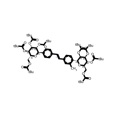 Cc1cc(/C=C/c2ccc([C@H]3O[C@H](COC(=O)C(C)(C)C)[C@@H](OC(=O)C(C)(C)C)[C@H](OC(=O)C(C)(C)C)[C@@H]3OC(=O)C(C)(C)C)cc2)ccc1[C@H]1O[C@H](COC(=O)C(C)(C)C)[C@@H](OC(=O)C(C)(C)C)[C@H](OC(=O)C(C)(C)C)[C@@H]1OC(=O)C(C)(C)C